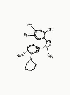 CCc1cc(-c2cnc(S)n2-c2ccc(OC)c(N3CCCCC3)c2)c(O)cc1O